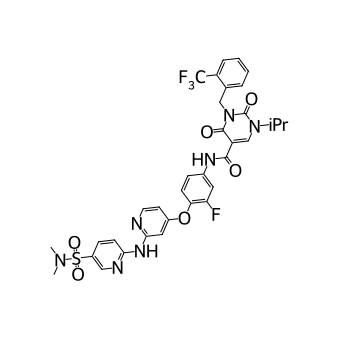 CC(C)n1cc(C(=O)Nc2ccc(Oc3ccnc(Nc4ccc(S(=O)(=O)N(C)C)cn4)c3)c(F)c2)c(=O)n(Cc2ccccc2C(F)(F)F)c1=O